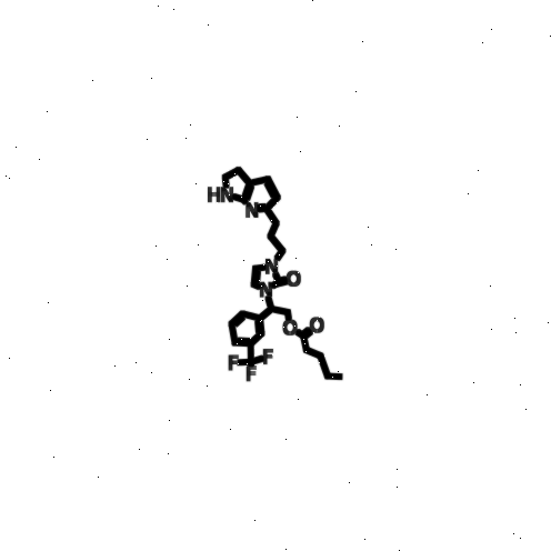 CCCCC(=O)OCC(c1cccc(C(F)(F)F)c1)n1ccn(CCCc2ccc3c(n2)NCC3)c1=O